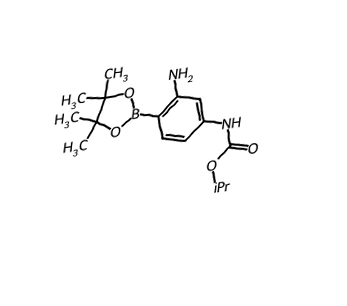 CC(C)OC(=O)Nc1ccc(B2OC(C)(C)C(C)(C)O2)c(N)c1